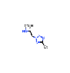 CCc1nnn(CCNC(=O)O)n1